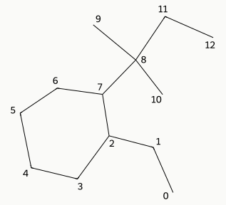 CCC1CCCCC1C(C)(C)CC